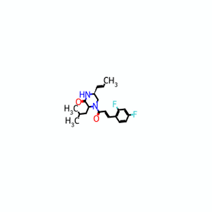 C/C=C/[C@H]1CN(C(=O)/C=C/c2ccc(F)cc2F)C(CC(C)C)C(=O)N1